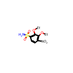 CCOc1c([N+](=O)[O-])ccc(S(N)(=O)=O)c1OCC